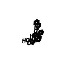 CC(C)(C)N(NC(=O)O)C(=O)c1ccc(OCc2ccc3ccccc3n2)cc1C1(c2ccccc2)CC2CCC1C2